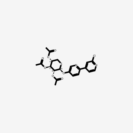 CC(=O)O[C@@H]1[C@@H](OC(C)=O)[C@H](OC(C)=O)CS[C@H]1Oc1ccc(-c2ccnc(Cl)c2)nc1